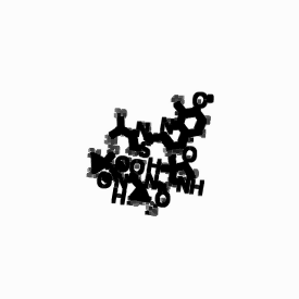 COc1ccc2c(O[C@H]3CN[C@H](C(=O)N[C@]4(C(=O)NS(=O)(=O)C5(C)CC5)C[C@H]4C)C3(C)C)cc(-c3nc(C(C)C)cs3)nc2c1C